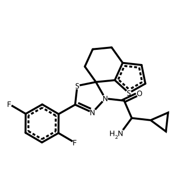 NC(C(=O)N1N=C(c2cc(F)ccc2F)SC12CCCc1ccsc12)C1CC1